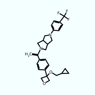 C=C(c1ccc(C2(OCC3CC3)COC2)cc1)N1CC2CN(c3ccc(C(F)(F)F)cc3)CC2C1